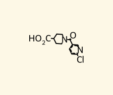 O=C(O)C1CCN(C(=O)c2ccc(Cl)nc2)CC1